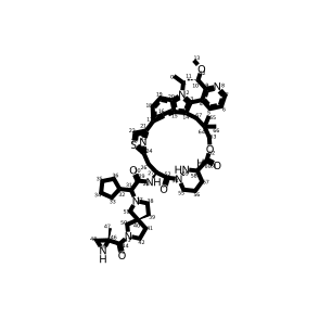 CCn1c(-c2cccnc2[C@H](C)OC)c2c3cc(ccc31)-c1csc(n1)C[C@H](NC(=O)C(C1CCCC1)N1CC[C@]3(CCN(C(=O)[C@@]4(C)CN4)C3)C1)C(=O)N1CCC[C@H](N1)C(=O)OCC(C)(C)C2